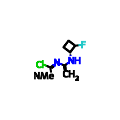 C=C(/N=C(/Cl)NC)N[C@@H]1CCC1F